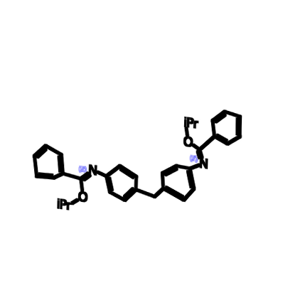 CC(C)O/C(=N\c1ccc(Cc2ccc(/N=C(\OC(C)C)c3ccccc3)cc2)cc1)c1ccccc1